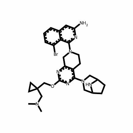 CN(C)CC1(COc2nc3c(c(N4CC5CCC(C4)N5)n2)CCN(c2nc(N)cc4cccc(Br)c24)C3)CC1